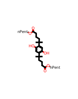 CCCCCOC(=O)CCCC(C)(C)c1cc(O)c(C(C)(C)CCCC(=O)OCCCCC)cc1O